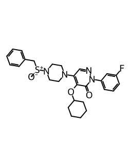 O=c1c(OC2CCCCC2)c(N2CCN([S@@+]([O-])Cc3ccccc3)CC2)cnn1-c1cccc(F)c1